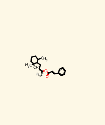 CC(CCC1C(C)CCCC1(C)C)OC(=O)/C=C/c1ccccc1